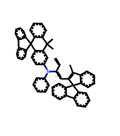 C=C/C(=C\C1=C(C)c2ccccc2C12c1ccccc1-c1ccccc12)N(c1ccccc1)c1ccc2c(c1)C(C)(C)c1ccccc1C21c2ccccc2-c2ccccc21